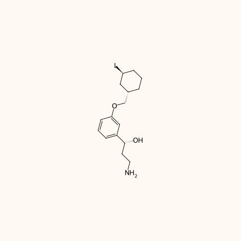 NCC[C@@H](O)c1cccc(OC[C@H]2CCC[C@H](I)C2)c1